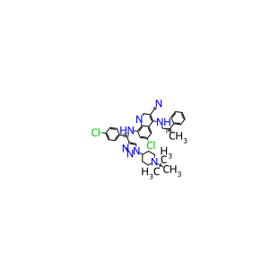 C[C@@H](CNc1c(C#N)cnc2c(N[C@@H](c3ccc(Cl)cc3)c3cn(C4CCN(C(C)(C)C)CC4)nn3)cc(Cl)cc12)c1ccccc1